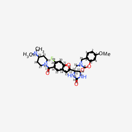 COc1ccc2c(c1)OCN(C[C@@]1(c3cc4cc(C(=O)N5CCC(N(C)C)CC5)c(F)cc4o3)NC(=O)NC1=O)C2